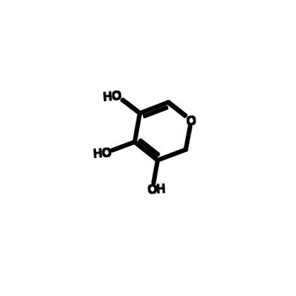 OC1=COCC(O)=C1O